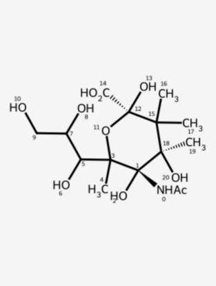 CC(=O)N[C@@]1(O)C(C)(C(O)C(O)CO)O[C@](O)(C(=O)O)C(C)(C)[C@@]1(C)O